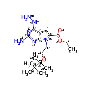 CCOC(=O)c1cc2c(NN)nc(N)nc2n1CCO[Si](C)(C)C(C)(C)C